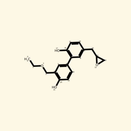 CCOCc1cc(-c2cc(CC3CO3)ccc2O)ccc1O